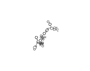 CC1(C)CCC(CN2CCN(c3ccc(C(=O)NS(=O)(=O)c4ccc(N[C@H](CCN5CCCOCC5)CSc5ccccc5)c(S(=O)(=O)C(F)(F)Cl)c4)cc3)CC2)=C(c2ccc(Cl)cc2)C1